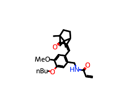 C=CC(=O)NCc1cc(OCCCC)c(OC)cc1C=C1C(=O)C2(C)CCC1C2(C)C